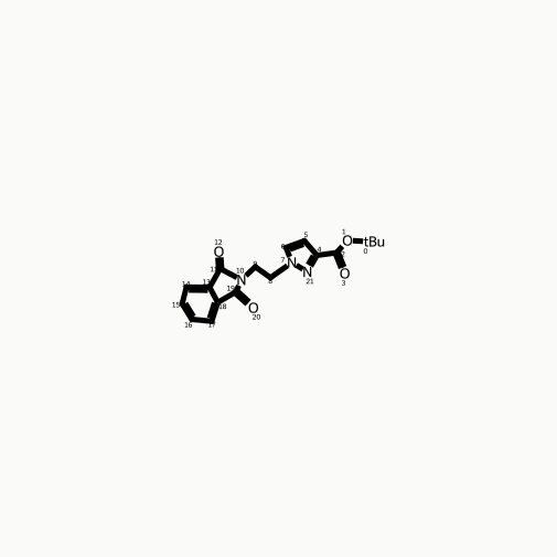 CC(C)(C)OC(=O)c1ccn(CCN2C(=O)c3ccccc3C2=O)n1